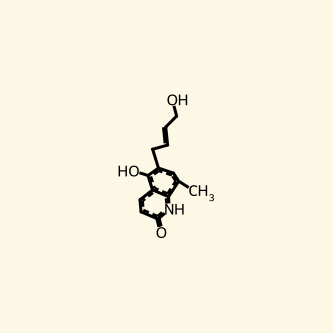 Cc1cc(C/C=C/CO)c(O)c2ccc(=O)[nH]c12